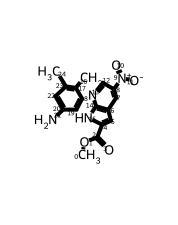 COC(=O)c1cc2cc([N+](=O)[O-])cnc2[nH]1.Cc1ccc(N)cc1C